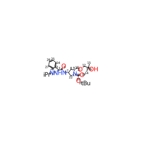 CC(C)n1nc(C(=O)N[C@H]2C[C@@H](COCC(C)(C)O)N(C(=O)OC(C)(C)C)C2)c2ccccc21